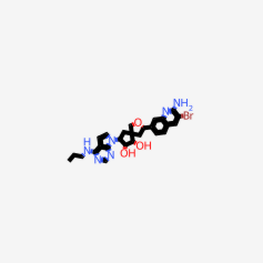 CCCNc1ncnc2c1ccn2C1CC2(COC(c3ccc4cc(Br)c(N)nc4c3)C2)C(O)C1O